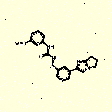 COc1cccc(NC(=O)NCc2cccc(-c3cn4c(n3)CCC4)c2)c1